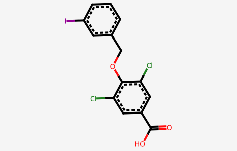 O=C(O)c1cc(Cl)c(OCc2cccc(I)c2)c(Cl)c1